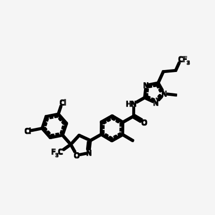 Cc1cc(C2=NOC(c3cc(Cl)cc(Cl)c3)(C(F)(F)F)C2)ccc1C(=O)Nc1nc(CCC(F)(F)F)n(C)n1